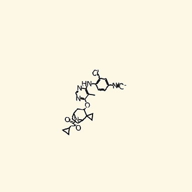 [C-]#[N+]c1ccc(Nc2ncnc(OC3CC4CCC(N4S(=O)(=O)C4CC4)C34CC4)c2C)c(Cl)c1